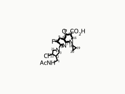 CC(=O)NCC1CN(c2nc3c(cc2F)c(=O)c(C(=O)O)cn3C2CC2)CC1Cl